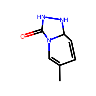 CC1=CN2C(=O)NNC2C=C1